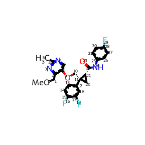 COCc1nc(C)ncc1OC[C@@]1(c2ccc(F)c(F)c2)C[C@H]1C(=O)Nc1ccc(F)cc1